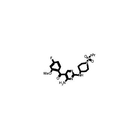 CCCS(=O)(=O)N1CCC(Nc2ncc(C(=O)c3ccc(F)cc3OC)c(N)n2)CC1